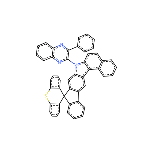 c1ccc(-c2nc3ccccc3nc2-n2c3cc4c(cc3c3c5ccccc5ccc32)-c2ccccc2C42c3ccccc3Sc3ccccc32)cc1